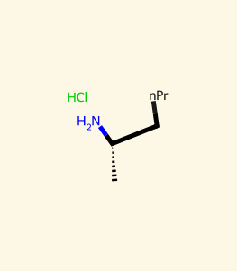 CCCC[C@H](C)N.Cl